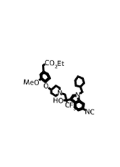 [C-]#[N+]c1ccc2c(C(O)(CN3CCC(Oc4ccc(CC(=O)OCC)cc4OC)CC3)C(F)(F)F)cn(CC3CCCCC3)c2c1